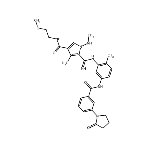 CNn1cc(C(=O)NCCOC)c(C)c1C(=N)Nc1cc(NC(=O)c2cccc(N3CCCC3=O)c2)ccc1C